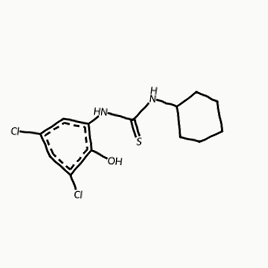 Oc1c(Cl)cc(Cl)cc1NC(=S)NC1CCCCC1